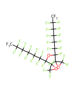 FC(F)(F)C(F)(F)C(F)(F)C(F)(F)C(F)(F)C(F)(F)C(F)(OC(F)(C(F)(F)C(F)(F)C(F)(F)C(F)(F)C(F)(F)C(F)(F)F)C1(F)OC1(F)F)C1(F)OC1(F)F